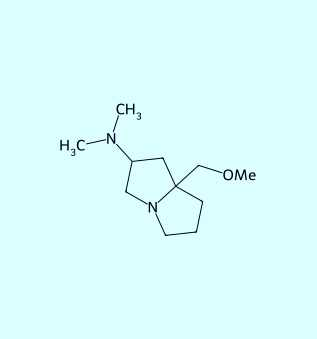 COCC12CCCN1CC(N(C)C)C2